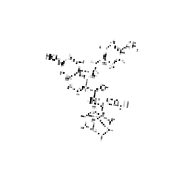 O=C(N[C@H](C(=O)O)C12CC3CC(CC(C3)C1)C2)c1ccc2cc(O)ccc2c1OCc1ccc(C(F)(F)F)cc1